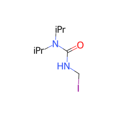 CC(C)N(C(=O)NCI)C(C)C